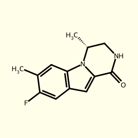 Cc1cc2c(cc1F)cc1n2[C@H](C)CNC1=O